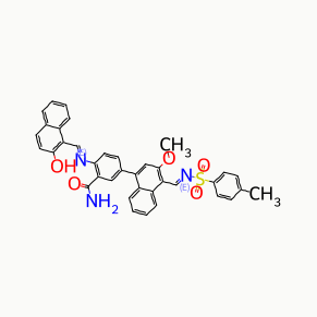 COc1cc(-c2ccc(/N=C/c3c(O)ccc4ccccc34)c(C(N)=O)c2)c2ccccc2c1/C=N/S(=O)(=O)c1ccc(C)cc1